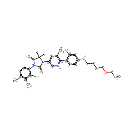 CC1(C)C(=O)N(c2ccc(C#N)c(C(F)(F)F)c2F)C(=S)N1c1cnc(-c2ccc(OCCCCOCC=O)cc2F)c(C(F)(F)F)c1